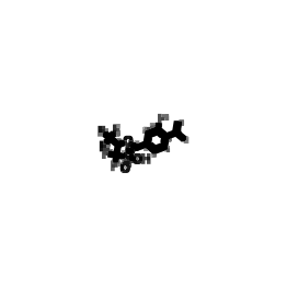 C=C(C)c1ccc(COC(C(F)(F)F)C(F)(F)S(=O)(=O)O)cc1I